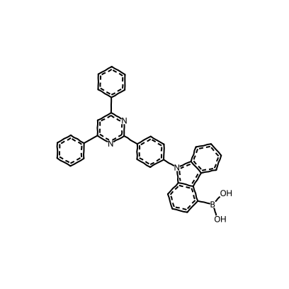 OB(O)c1cccc2c1c1ccccc1n2-c1ccc(-c2nc(-c3ccccc3)cc(-c3ccccc3)n2)cc1